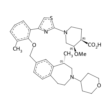 CO[C@H]1CN(c2nc(-c3cccc(C)c3OCc3ccc4c(c3)[C@H](C)CN(C3CCOCC3)CC4)cs2)CC[C@H]1C(=O)O